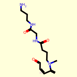 C=C(/C=C\C=O)N(C)CCCC(=O)NCC(=O)NCCCN